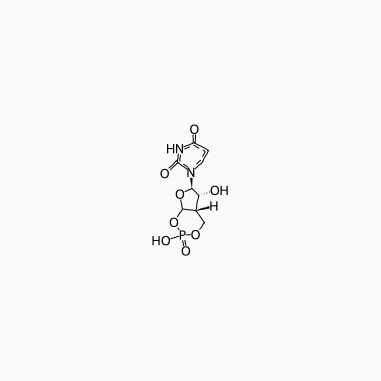 O=c1ccn([C@@H]2OC3OP(=O)(O)OC[C@H]3[C@H]2O)c(=O)[nH]1